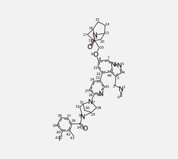 C=NCc1cnn2cc(OCCN3C4CCC3CC(=O)C4)cc(-c3ccc(N4CC5CC4CN5C(=O)c4cccc(F)c4C)nc3)c12